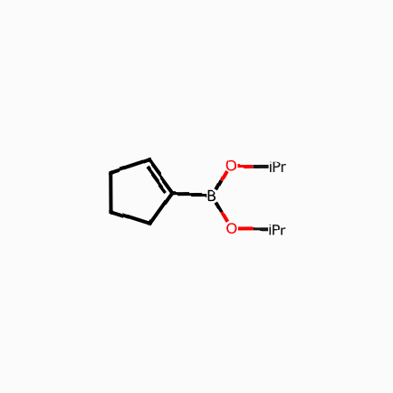 CC(C)OB(OC(C)C)C1=CCCC1